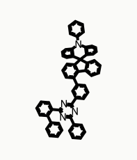 c1ccc(-c2nc(-c3cccc(-c4cccc5c4-c4ccccc4C54c5ccccc5N(c5ccccc5)c5ccccc54)c3)nc(-c3ccccc3-c3ccccc3)n2)cc1